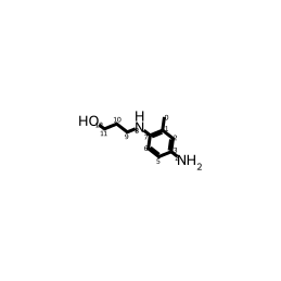 Cc1cc(N)ccc1NCCCO